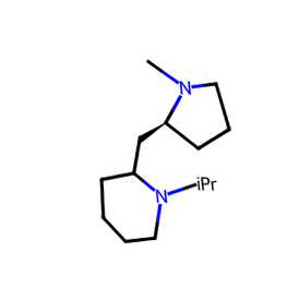 CC(C)N1CCCCC1C[C@@H]1CCCN1C